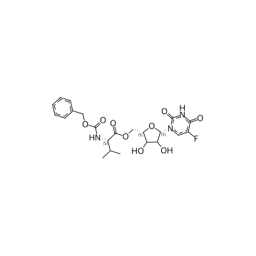 CC(C)[C@H](NC(=O)OCc1ccccc1)C(=O)OC[C@@H]1O[C@H](n2cc(F)c(=O)[nH]c2=O)C(O)C1O